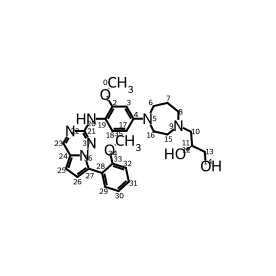 COc1cc(N2CCCN(C[C@H](O)CO)CC2)ccc1Nc1ncc2ccc(-c3ccccc3OC)n2n1